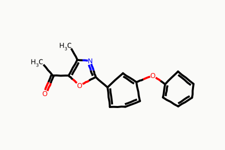 CC(=O)c1oc(-c2cccc(Oc3ccccc3)c2)nc1C